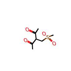 CC(=O)C(CS(C)(=O)=O)C(C)=O